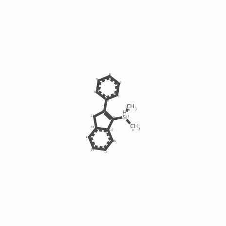 C[SiH](C)C1=C(c2ccccc2)[CH]c2ccccc21